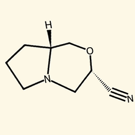 N#C[C@@H]1CN2CCC[C@@H]2CO1